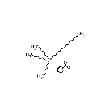 CCCCCCCCCCCCCC[P+](CCCCCC)(CCCCCC)CCCCCC.O=C([O-])c1ccccc1